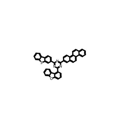 c1ccc2c(c1)ccc1c3ccc(-c4nc(-c5ccc6c(c5)sc5ccccc56)nc(-c5cccc6oc7ccccc7c56)n4)cc3ccc21